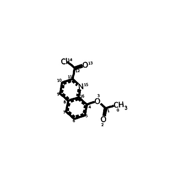 CC(=O)Oc1cccc2ccc(C(=O)Cl)nc12